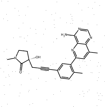 Cc1ccc(C#CC[C@]2(O)CCN(C)C2=O)cc1-c1cc(C)c2ncnc(N)c2n1